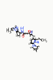 CCc1nc(N2CC3CC3C2)ccc1Cc1cc(C(=O)N[C@@H]2CCc3c2ncn3C)on1